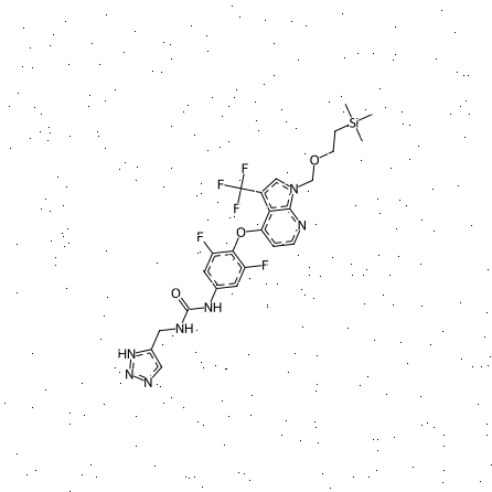 C[Si](C)(C)CCOCn1cc(C(F)(F)F)c2c(Oc3c(F)cc(NC(=O)NCc4cnn[nH]4)cc3F)ccnc21